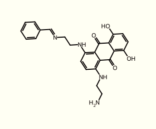 NCCNc1ccc(NCC/N=C/c2ccccc2)c2c1C(=O)c1c(O)ccc(O)c1C2=O